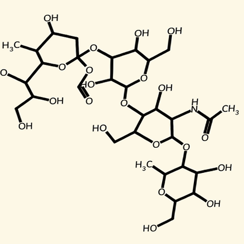 CC(=O)NC1C(OC2C(C)OC(CO)C(O)C2O)OC(CO)C(OC2OC(CO)C(O)C(OC3(OC=O)CC(O)C(C)C(C(O)C(O)CO)O3)C2O)C1O